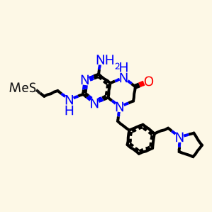 CSCCNc1nc(N)c2c(n1)N(Cc1cccc(CN3CCCC3)c1)CC(=O)N2